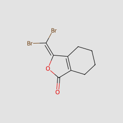 O=C1OC(=C(Br)Br)C2=C1CCCC2